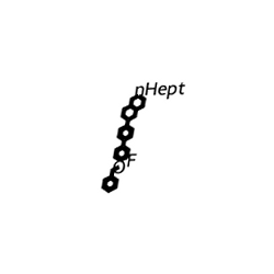 CCCCCCCC1CCC2CC(c3ccc(-c4ccc(OCc5ccccc5)c(F)c4)cc3)CCC2C1